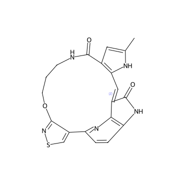 Cc1cc2c([nH]1)/C=C1\C(=O)Nc3ccc(nc31)-c1csnc1OCCCNC2=O